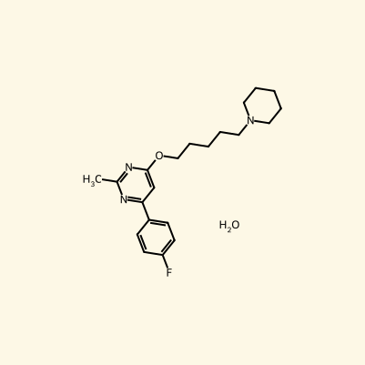 Cc1nc(OCCCCCN2CCCCC2)cc(-c2ccc(F)cc2)n1.O